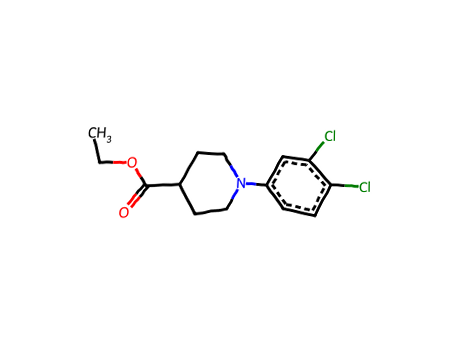 CCOC(=O)C1CCN(c2ccc(Cl)c(Cl)c2)CC1